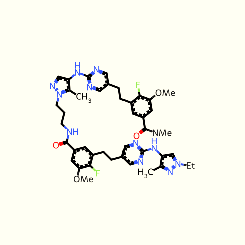 CCn1cc(Nc2ncc(CCc3cc(C(=O)NCCCn4ncc(Nc5ncc(CCc6cc(C(=O)NC)cc(OC)c6F)cn5)c4C)cc(OC)c3F)cn2)c(C)n1